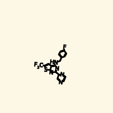 Fc1ccc(CNc2nc(-c3cnccn3)nc3sc(C(F)(F)F)cc23)cc1